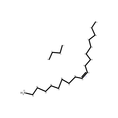 CCCC.CCCCCCCC/C=C\CCCCCCCCN